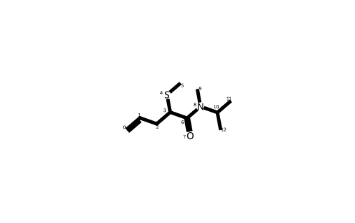 C=CCC(SC)C(=O)N(C)C(C)C